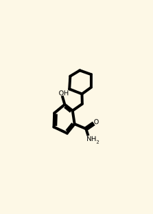 NC(=O)c1cccc(O)c1CC1CCCCC1